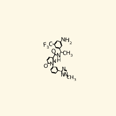 C[C@@H](NC(=O)c1ccc(=O)n(-c2cccc(-c3ncn(C)n3)c2)n1)c1cc(N)cc(C(F)(F)F)c1